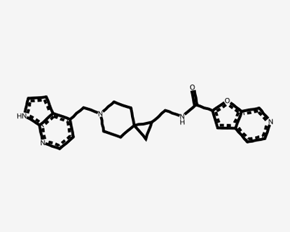 O=C(NCC1CC12CCN(Cc1ccnc3[nH]ccc13)CC2)c1cc2ccncc2o1